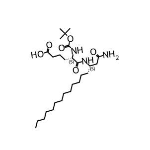 CCCCCCCCCCCCC[C@@H](CC(N)=O)NC(=O)[C@H](CCCC(=O)O)NC(=O)OC(C)(C)C